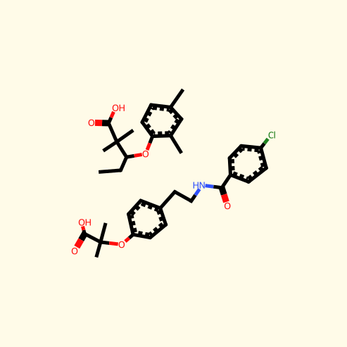 CC(C)(Oc1ccc(CCNC(=O)c2ccc(Cl)cc2)cc1)C(=O)O.CCC(Oc1ccc(C)cc1C)C(C)(C)C(=O)O